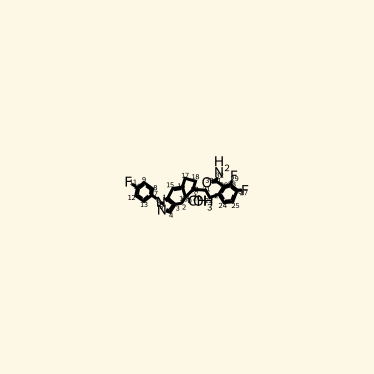 C[C@]12Cc3cnn(-c4ccc(F)cc4)c3C=C1CC[C@@]2(O)CCc1ccc(F)c(F)c1C(N)=O